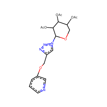 CC(=O)OC1COC(n2cc(COc3cccnc3)nn2)C(OC(C)=O)C1OC(C)=O